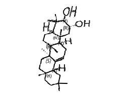 CC1(C)CC[C@]2(C)CC[C@]3(C)C(=CC[C@@H]4[C@@]5(C)C[C@@H](O)[C@H](O)C(C)(C)[C@@H]5CC[C@]43C)[C@@H]2C1